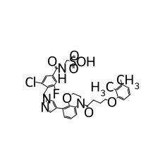 Cc1cccc(OCCCC(=O)N2CCOc3c(-c4cnn(Cc5c(F)cc(C(=O)NCS(=O)(=O)O)cc5Cl)c4)cccc32)c1C